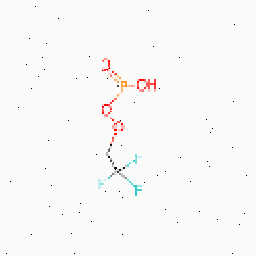 O=[P](O)OOCC(F)(F)F